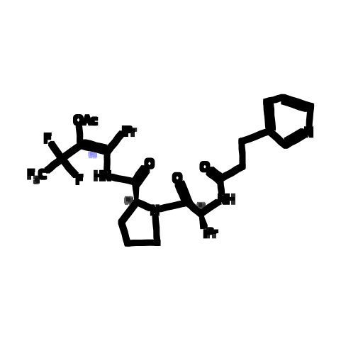 CC(=O)O/C(=C(/NC(=O)[C@@H]1CCCN1C(=O)[C@@H](NC(=O)CCc1cccnc1)C(C)C)C(C)C)C(F)(F)C(F)(F)F